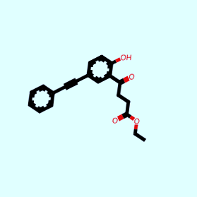 CCOC(=O)CCC(=O)c1cc(C#Cc2ccccc2)ccc1O